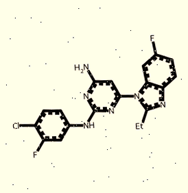 CCc1nc2ccc(F)cc2n1-c1cc(N)nc(Nc2ccc(Cl)c(F)c2)n1